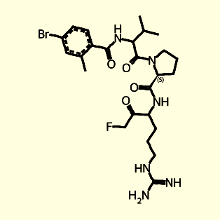 Cc1cc(Br)ccc1C(=O)NC(C(=O)N1CCC[C@H]1C(=O)NC(CCCNC(=N)N)C(=O)CF)C(C)C